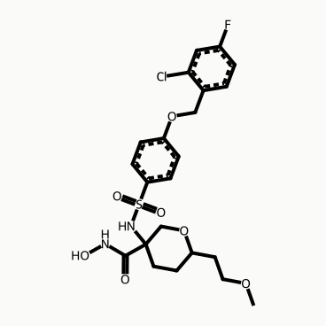 COCCC1CCC(NS(=O)(=O)c2ccc(OCc3ccc(F)cc3Cl)cc2)(C(=O)NO)CO1